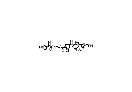 N#CCn1cc(-c2cnc3c(Nc4ccc(C(=O)NCCNCC(=O)N[C@@H]5CCNC5)c(Cl)c4)nccn23)c(C(F)(F)F)n1